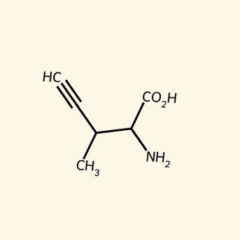 C#CC(C)C(N)C(=O)O